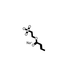 CC=CC(=O)OCCS(=O)(=O)[O-].[Na+]